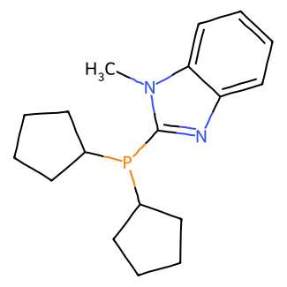 Cn1c(P(C2CCCC2)C2CCCC2)nc2ccccc21